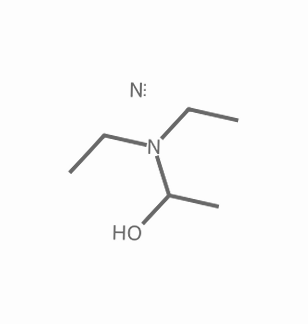 CCN(CC)C(C)O.[N]